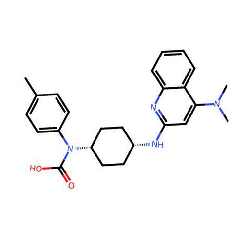 Cc1ccc(N(C(=O)O)[C@H]2CC[C@@H](Nc3cc(N(C)C)c4ccccc4n3)CC2)cc1